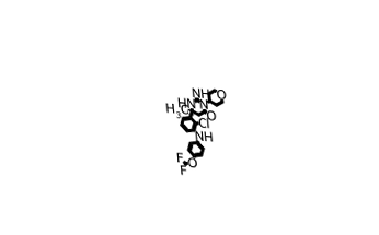 C[C@@]1(c2cccc(Nc3ccc(OC(F)F)cc3)c2Cl)CC(=O)N(C2CCOCC2)C(=N)N1